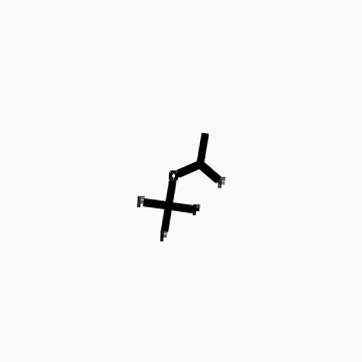 CC(F)OC(F)(F)F